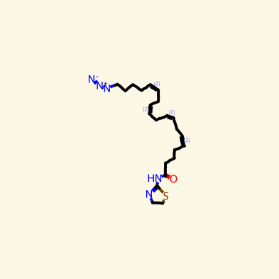 [N-]=[N+]=NCCCC/C=C\C/C=C\C/C=C\C/C=C\CCCC(=O)NC1=NCCS1